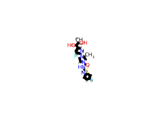 CC1CN(C(=O)Nc2nc3ccc(F)cc3s2)CCN1c1ncc([C@H](O)[C@H](C)O)cc1F